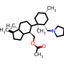 C=C1CCC2[C@H](COC(C)=O)C([C@@]3(C)CC[C@H](C)C[C@@H]3CN3CCCC3)CC[C@]12C